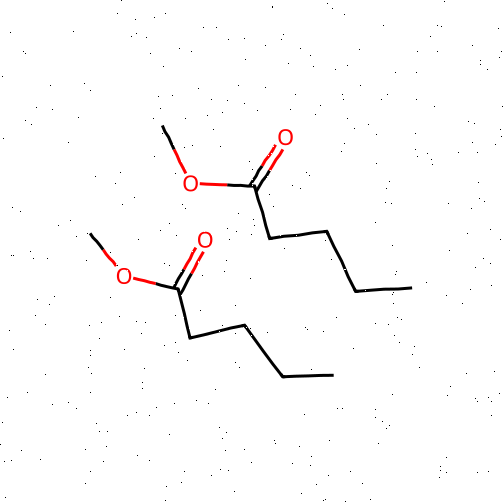 CCCCC(=O)OC.CCCCC(=O)OC